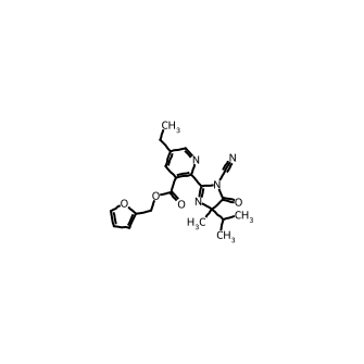 CCc1cnc(C2=NC(C)(C(C)C)C(=O)N2C#N)c(C(=O)OCc2ccco2)c1